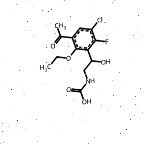 CCOc1c(C(C)=O)cc(Cl)c(F)c1C(O)CNC(=O)O